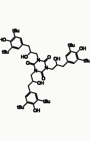 CC(C)(C)c1cc(CC(O)Cn2c(=O)n(CC(O)Cc3cc(C(C)(C)C)c(O)c(C(C)(C)C)c3)c(=O)n(CC(O)Cc3cc(C(C)(C)C)c(O)c(C(C)(C)C)c3)c2=O)cc(C(C)(C)C)c1O